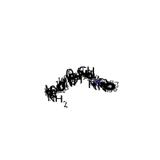 CN(CCOC(=O)NCc1ccc(COc2nccc(N)n2)cc1)c1ccc(/C=C(\C#N)c2nc3ccccc3o2)cc1